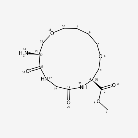 COC(=O)[C@@H]1COCCCCOC[C@H](N)C(=O)NCC(=O)N1